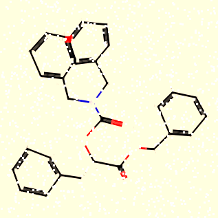 O=C(OCc1ccccc1)[C@H](Cc1ccccc1)OC(=O)N(Cc1ccccc1)Cc1ccccc1